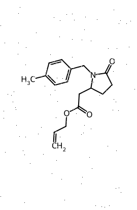 C=CCOC(=O)CC1CCC(=O)N1Cc1ccc(C)cc1